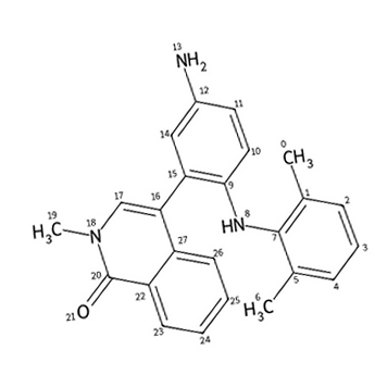 Cc1cccc(C)c1Nc1ccc(N)cc1-c1cn(C)c(=O)c2ccccc12